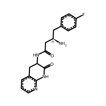 N[C@@H](CC(=O)NC1Cc2cccnc2NC1=O)Cc1ccc(F)cc1